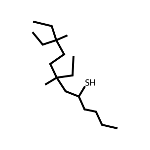 CCCCC(S)CC(C)(CC)CCC(C)(CC)CC